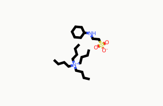 CCCC[N+](CCCC)(CCCC)CCCC.O=S(=O)([O-])CCNC1CCCCC1